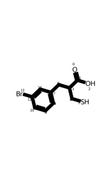 O=C(O)C(CS)Cc1cccc(Br)c1